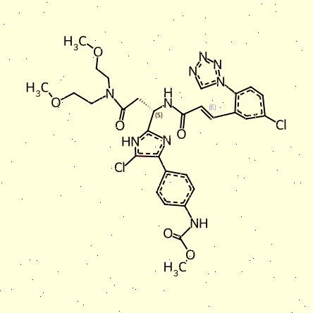 COCCN(CCOC)C(=O)C[C@H](NC(=O)/C=C/c1cc(Cl)ccc1-n1cnnn1)c1nc(-c2ccc(NC(=O)OC)cc2)c(Cl)[nH]1